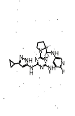 CNc1nc(Nc2cc(C3CC3)n[nH]2)nc(N2CCC[C@@]2(C)C(=O)Nc2ccc(F)nc2)n1